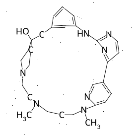 CN1CCCN(C)c2ccc(cn2)-c2ccnc(n2)Nc2cccc(c2)CC2(O)CCN(CC1)CC2